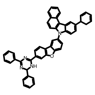 C1=CCC(c2ccc3c(c2)c2c4ccccc4ccc2n3-c2ccc3oc4cc(C5=NC(c6ccccc6)=NC(c6ccccc6)N5)ccc4c3c2)C=C1